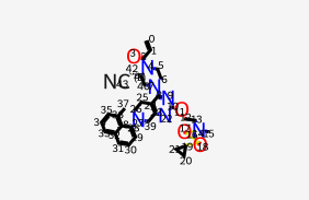 C=CC(=O)N1CCN(c2nc(OCCN(C)S(=O)(=O)C3CC3)nc3c2CCN(c2cccc4cccc(C)c24)C3)C[C@@H]1CC#N